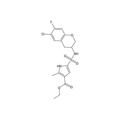 CCOC(=O)c1cc(S(=O)(=O)NC2COc3cc(F)c(Cl)cc3C2)[nH]c1C